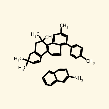 Cc1ccc(-c2cc(C)cc3c4c(ccc23)C2=C(CC(C)(C)C=C2)CC4(C)C)cc1.Nc1ccc2ccccc2c1